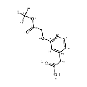 CC(C)(C)OC(=O)COc1cccc(CC(=O)O)c1